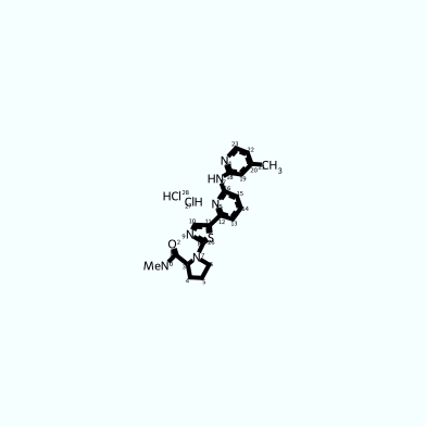 CNC(=O)C1CCCN1c1ncc(-c2cccc(Nc3cc(C)ccn3)n2)s1.Cl.Cl